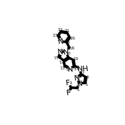 FC(F)Cn1ccc(Nc2cc3c(cn2)cnn3Cc2ccccn2)n1